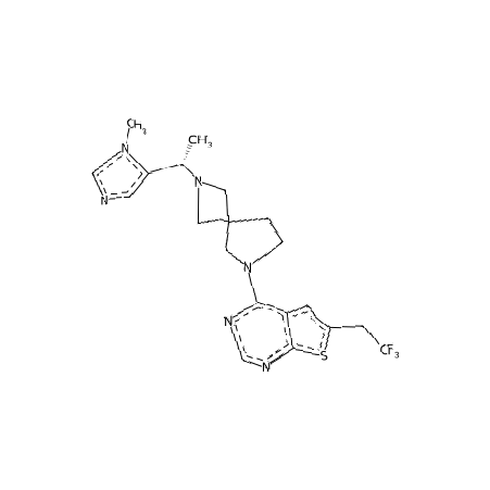 C[C@@H](c1cncn1C)N1CC2(CCN(c3ncnc4sc(CC(F)(F)F)cc34)C2)C1